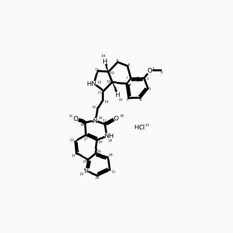 COc1cccc2c1CC[C@H]1CNC(CCn3c(=O)[nH]c4c(ccc5ncccc54)c3=O)[C@@H]21.Cl